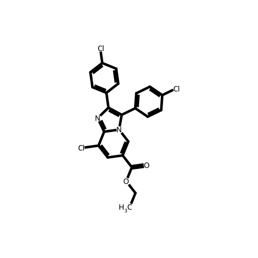 CCOC(=O)c1cc(Cl)c2nc(-c3ccc(Cl)cc3)c(-c3ccc(Cl)cc3)n2c1